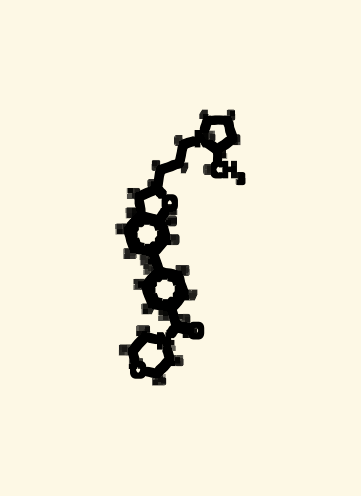 CC1CCCN1CCCC1Cc2ccc(-c3ccc(C(=O)N4CCOCC4)cc3)cc2O1